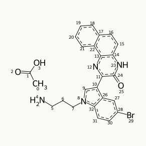 CC(=O)O.NCCCn1cc(-c2nc3c(ccc4ccccc43)[nH]c2=O)c2cc(Br)ccc21